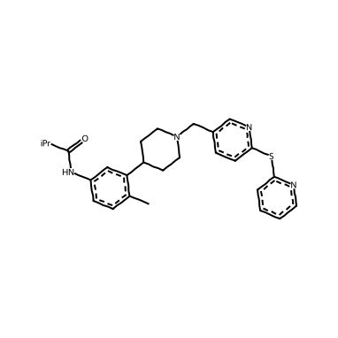 Cc1ccc(NC(=O)C(C)C)cc1C1CCN(Cc2ccc(Sc3ccccn3)nc2)CC1